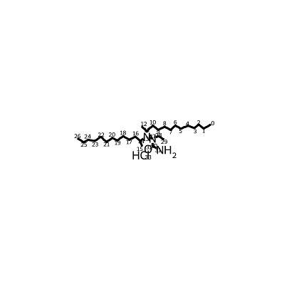 CCCCCCCCCCCC(C)N(C(C)CCCCCCCCCCC)N(CC)C(N)=O.Cl